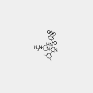 Cc1cc(C)cc(-c2cncc(NC(=O)c3ccc(S(C)(=O)=O)s3)c2N2CCC(N)CC2)c1